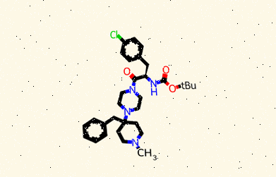 CN1CCC(Cc2ccccc2)(N2CCN(C(=O)[C@@H](Cc3ccc(Cl)cc3)NC(=O)OC(C)(C)C)CC2)CC1